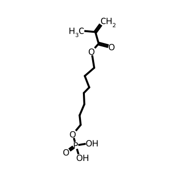 C=C(C)C(=O)OCCCCCCCOP(=O)(O)O